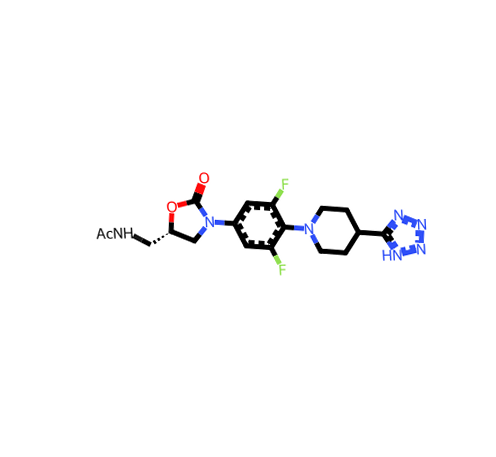 CC(=O)NC[C@H]1CN(c2cc(F)c(N3CCC(c4nnn[nH]4)CC3)c(F)c2)C(=O)O1